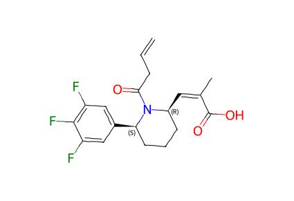 C=CCC(=O)N1[C@@H](C=C(C)C(=O)O)CCC[C@H]1c1cc(F)c(F)c(F)c1